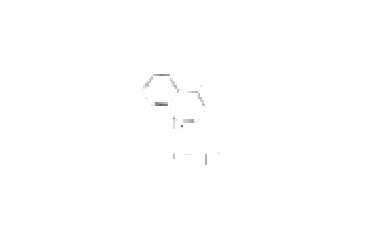 CCCCCCCC[n+]1ccc(C)c2ccccc21